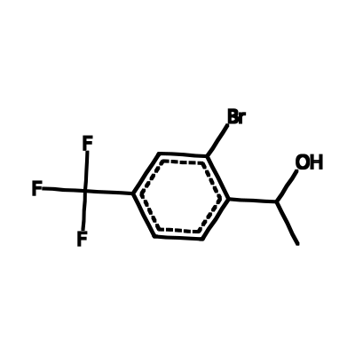 CC(O)c1ccc(C(F)(F)F)cc1Br